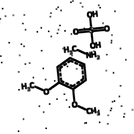 CN.COc1ccccc1OC.O=S(=O)(O)O